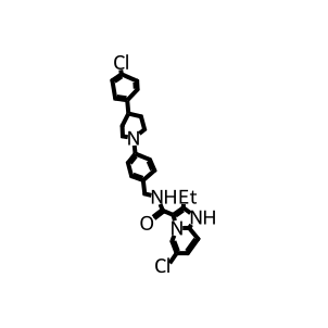 CCC1=C(C(=O)NCc2ccc(N3CCC(c4ccc(Cl)cc4)CC3)cc2)N2C=C(Cl)C=CC2N1